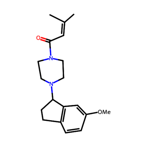 COc1ccc2c(c1)C(N1CCN(C(=O)C=C(C)C)CC1)CC2